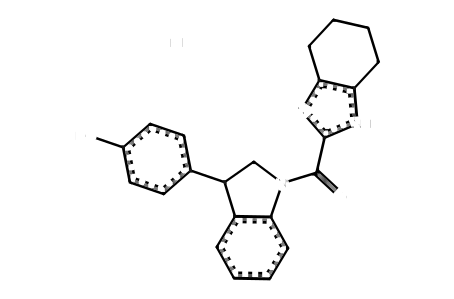 Cl.O=C(c1nc2c([nH]1)CCCC2)N1CC(c2ccc(O)cc2)c2ccccc21